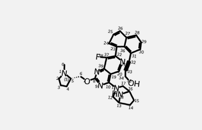 CN1CCC[C@H]1COc1nc(N2CC3CCC(C2)N3)c2cnc(-c3cccc4cccc(C#CCO)c34)c(F)c2n1